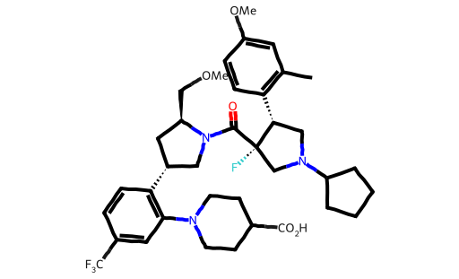 COC[C@@H]1C[C@@H](c2ccc(C(F)(F)F)cc2N2CCC(C(=O)O)CC2)CN1C(=O)[C@]1(F)CN(C2CCCC2)C[C@H]1c1ccc(OC)cc1C